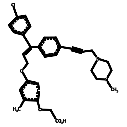 Cc1cc(OCC=C(c2ccc(Cl)cc2)c2ccc(C#CCN3CCN(C)CC3)cc2)ccc1OCC(=O)O